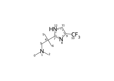 CN(C)CC(C)(C)c1nc(C(F)(F)F)c[nH]1